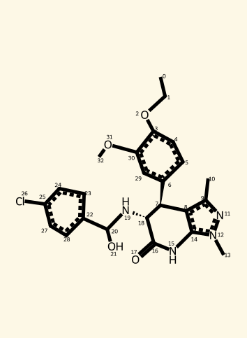 CCOc1ccc([C@H]2c3c(C)nn(C)c3NC(=O)[C@@H]2NC(O)c2ccc(Cl)cc2)cc1OC